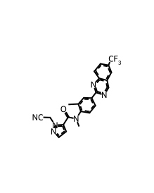 Cc1cc(-c2ncc3cc(C(F)(F)F)ccc3n2)ccc1N(C)C(=O)c1ccnn1CC#N